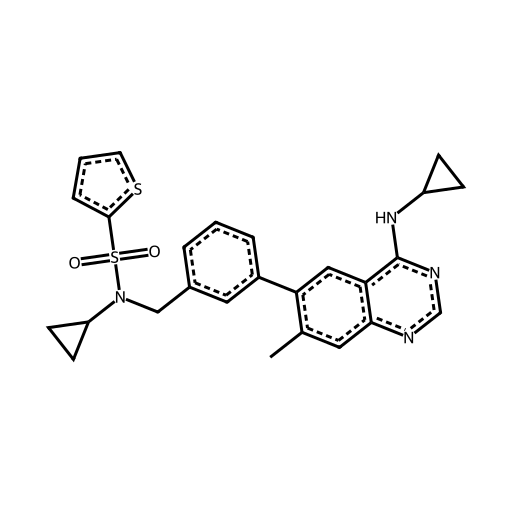 Cc1cc2ncnc(NC3CC3)c2cc1-c1cccc(CN(C2CC2)S(=O)(=O)c2cccs2)c1